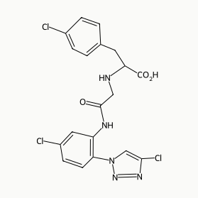 O=C(CNC(Cc1ccc(Cl)cc1)C(=O)O)Nc1cc(Cl)ccc1-n1cc(Cl)nn1